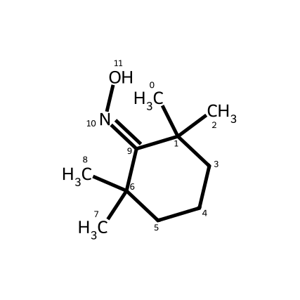 CC1(C)CCCC(C)(C)C1=NO